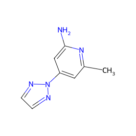 Cc1cc(-n2nccn2)cc(N)n1